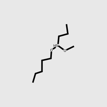 CCCCCO[SiH](CCC)OC